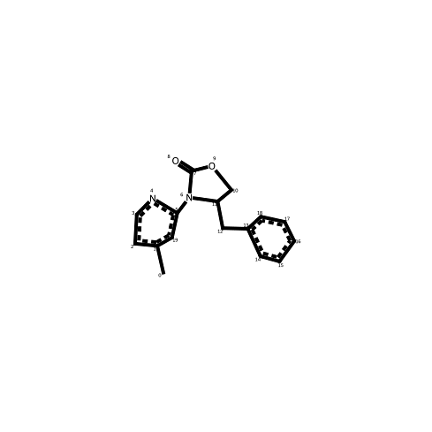 Cc1ccnc(N2C(=O)OCC2Cc2ccccc2)c1